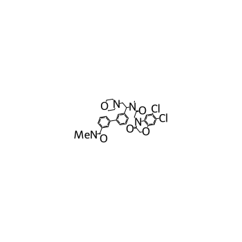 CNC(=O)c1cccc(-c2cccc(C(CN3CCOCC3)N(C)C(=O)CN3C(=O)COc4cc(Cl)c(Cl)cc43)c2)c1